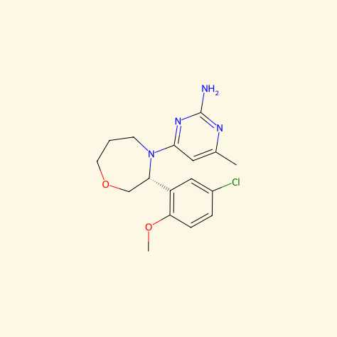 COc1ccc(Cl)cc1[C@@H]1COCCCN1c1cc(C)nc(N)n1